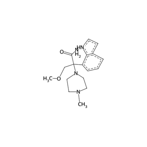 COCC(C(N)=O)(c1cccc2cc[nH]c12)N1CCN(C)CC1